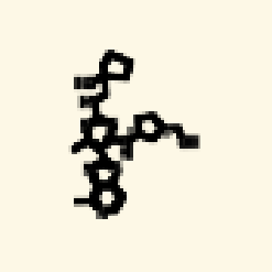 Cc1nc(NCC2(O)CCCC2)nc(N[C@H]2CC[C@@H](CO)C2)c1-c1nc2c(C)nccc2s1